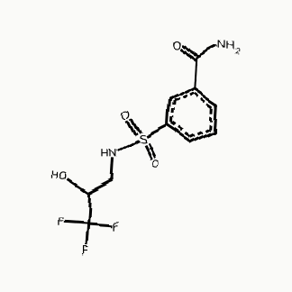 NC(=O)c1cccc(S(=O)(=O)NCC(O)C(F)(F)F)c1